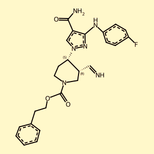 N=C[C@@H]1CN(C(=O)OCCc2ccccc2)CC[C@@H]1n1cc(C(N)=O)c(Nc2ccc(F)cc2)n1